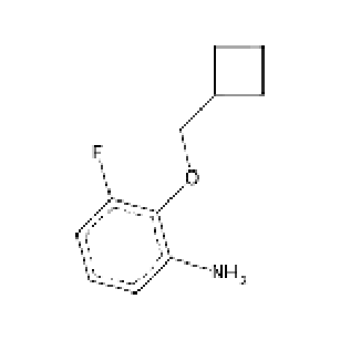 Nc1cccc(F)c1OCC1CCC1